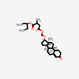 CC(=O)OCC(COC(C)=O)OC(=O)C(C)CC(=O)OCO[C@H]1CC[C@H]2[C@@H]3CCC4=CC(=O)CC[C@]4(C)[C@H]3CC[C@]12C